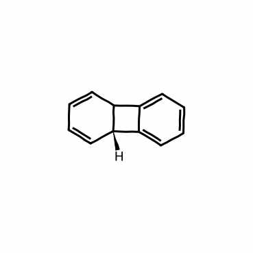 C1=CC2c3ccccc3[C@@H]2C=C1